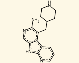 Nc1ncc2[nH]c3ncccc3c2c1CC1CCNCC1